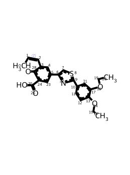 C/C=C\c1cc(-c2csc(-c3ccc(OCC)c(OCC)c3)n2)cc(C(=O)O)c1O